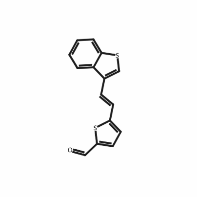 O=Cc1ccc(/C=C/c2csc3ccccc23)s1